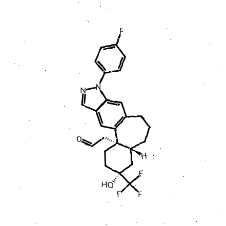 O=CC[C@@]12CC[C@](O)(C(F)(F)F)C[C@H]1CCCc1cc3c(cnn3-c3ccc(F)cc3)cc12